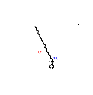 CCCCCCCCCCCCCCCCCCCC(N)C(C)(C)c1ccccc1.O